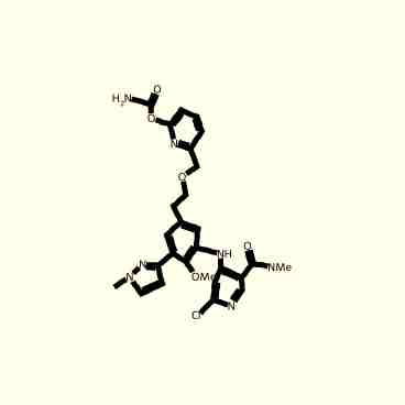 CNC(=O)c1cnc(Cl)cc1Nc1cc(CCOCc2cccc(OC(N)=O)n2)cc(-c2ccn(C)n2)c1OC